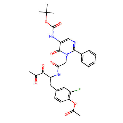 CC(=O)Oc1ccc(CC(NC(=O)Cn2c(-c3ccccc3)ncc(NC(=O)OC(C)(C)C)c2=O)C(=O)C(C)=O)cc1F